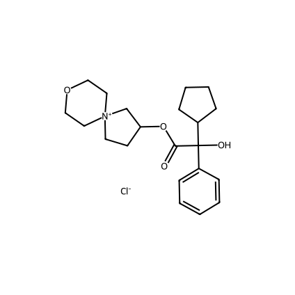 O=C(OC1CC[N+]2(CCOCC2)C1)C(O)(c1ccccc1)C1CCCC1.[Cl-]